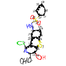 O=[C]c1nc(Cl)c2c(sc3ccc(NS(=O)(=O)c4ccccc4)cc32)c1O